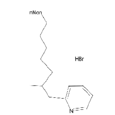 Br.CCCCCCCCCCCCCCC(C)Cc1ccccn1